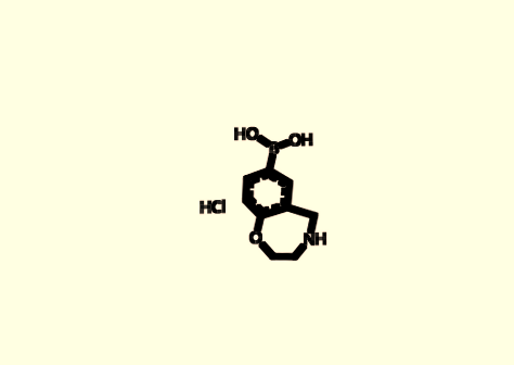 Cl.OB(O)c1ccc2c(c1)CNCCO2